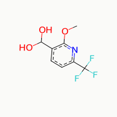 COc1nc(C(F)(F)F)ccc1C(O)O